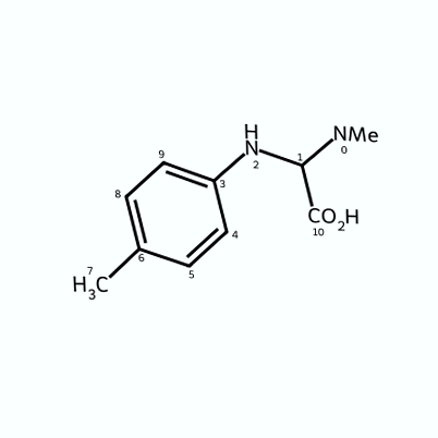 CNC(Nc1ccc(C)cc1)C(=O)O